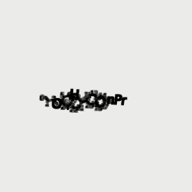 C=CCO[C@@H]1CC[C@@H]2CC(C3CCc4cc(CCC)ccc4C3)CCC2C1